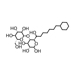 OC[C@H]1O[C@H](O[C@H]2[C@H](O)[C@@H](O)[C@H](O)O[C@@H]2C(O)CCCCCCC2CCCCC2)[C@H](O)[C@@H](O)[C@@H]1O